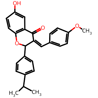 COc1ccc(C=C2C(=O)c3cc(O)ccc3OC2c2ccc(C(C)C)cc2)cc1